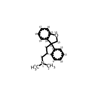 CN(C)CCCC1(c2ccccc2)COc2ccccc21